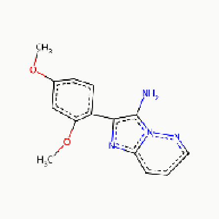 COc1ccc(-c2nc3cccnn3c2N)c(OC)c1